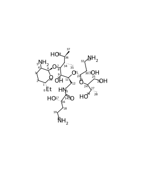 CC[C@@H]1CCC(N)[C@@H](OC(C(O)[C@H](CNC(=O)[C@@H](O)CCN)O[C@@H](OC(CO)[C@H](C)O)[C@@H](O)CN)[C@@H](C)[C@H](C)O)O1